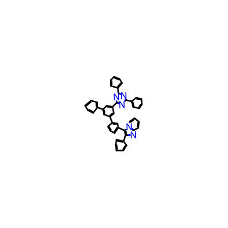 c1ccc(-c2cc(-c3cccc(-c4c(-c5ccccc5)nc5ccccn45)c3)cc(-c3nc(-c4ccccc4)nc(-c4ccccc4)n3)c2)cc1